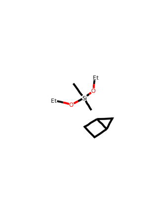 C1CC2CC12.CCO[Si](C)(C)OCC